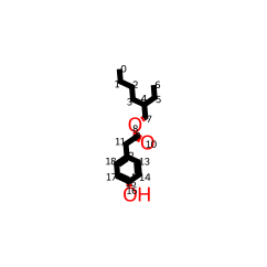 CCCCC(CC)COC(=O)Cc1c[c]c(O)cc1